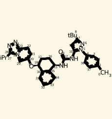 Cc1ccc(-n2nc(C(C)(C)C)cc2NC(=O)N[C@@H]2CC[C@H](Oc3ccc4nnc(C(C)C)n4c3)c3ccccc32)cc1